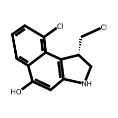 Oc1cc2c(c3c(Cl)cccc13)[C@H](CCl)CN2